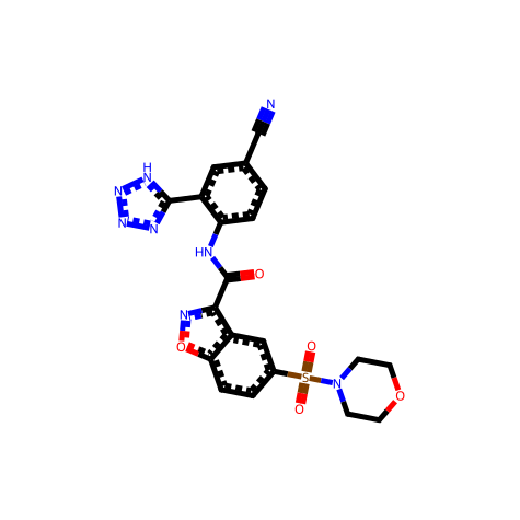 N#Cc1ccc(NC(=O)c2noc3ccc(S(=O)(=O)N4CCOCC4)cc23)c(-c2nnn[nH]2)c1